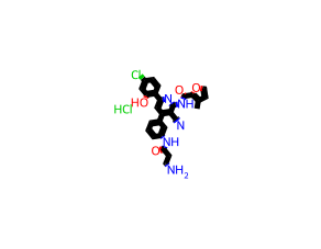 Cc1ccoc1C(=O)Nc1nc(-c2ccc(Cl)cc2O)cc(-c2cccc(NC(=O)CCN)c2)c1C#N.Cl